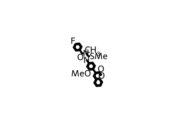 COc1cc(N=C(SC)N(C)C(=O)c2ccc(F)cc2)ccc1-c1cc2ccccc2oc1=O